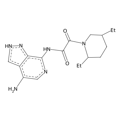 CCC1CCC(CC)N(C(=O)C(=O)Nc2ncc(N)c3c[nH]nc23)C1